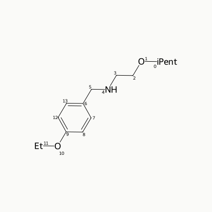 CCCC(C)OCCNCc1ccc(OCC)cc1